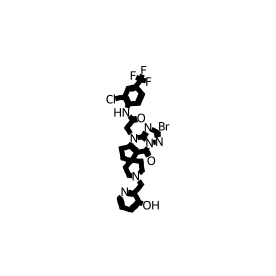 O=C(Cn1c2c(c(=O)n3nc(Br)nc13)C1(CC2)CCN(Cc2ncccc2O)CC1)Nc1ccc(C(F)(F)F)cc1Cl